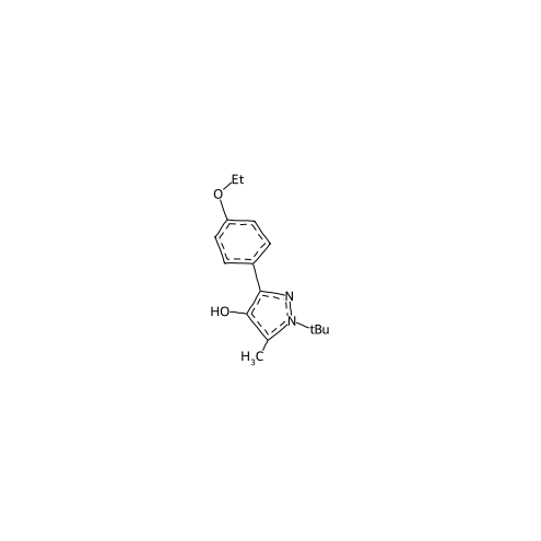 CCOc1ccc(-c2nn(C(C)(C)C)c(C)c2O)cc1